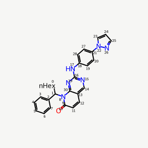 CCCCCCC(c1ccccc1)n1c(=O)ccc2cnc(Nc3ccc(-n4cccn4)cc3)nc21